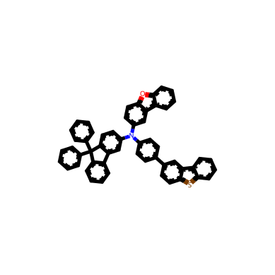 c1ccc(C2(c3ccccc3)c3ccccc3-c3cc(N(c4ccc(-c5ccc6sc7ccccc7c6c5)cc4)c4ccc5oc6ccccc6c5c4)ccc32)cc1